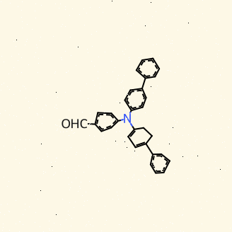 O=Cc1ccc(N(C2=CC=C(c3ccccc3)CC2)c2ccc(-c3ccccc3)cc2)cc1